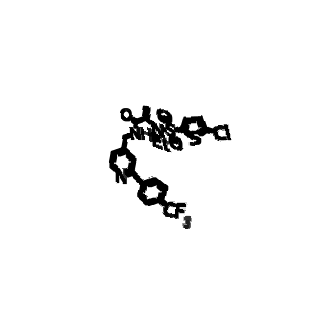 C=C(C(=O)NCc1ccnc(-c2ccc(C(F)(F)F)cc2)c1)N(CC)S(=O)(=O)c1ccc(Cl)s1